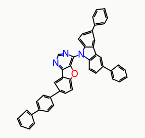 c1ccc(-c2ccc(-c3ccc4oc5c(-n6c7ccc(-c8ccccc8)cc7c7cc(-c8ccccc8)ccc76)ncnc5c4c3)cc2)cc1